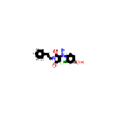 O=C1C=C(Nc2ccc(O)cc2Cl)C(=O)N1CCc1ccccc1